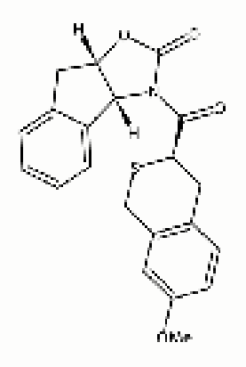 COc1ccc2c(c1)CS[C@@H](C(=O)N1C(=O)O[C@H]3Cc4ccccc4[C@H]31)C2